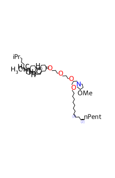 CCCCC/C=C\C/C=C\CCCCCCCCOCC(CN1CCC(OC)C1)OCCCOCCCO[C@H]1CC[C@@]2(C)C(=CC[C@H]3[C@@H]4CC[C@H]([C@H](C)CCCC(C)C)[C@@]4(C)CC[C@@H]32)C1